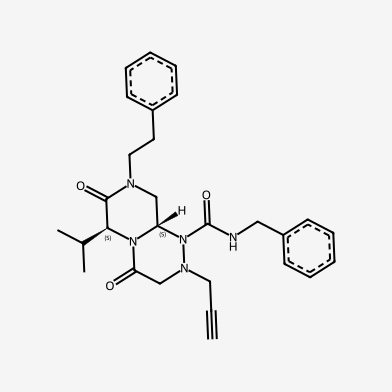 C#CCN1CC(=O)N2[C@@H](C(C)C)C(=O)N(CCc3ccccc3)C[C@@H]2N1C(=O)NCc1ccccc1